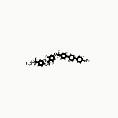 CCCC1CCC(C2CCC(c3ccc(C(F)(F)Oc4cc(F)c(C(F)(F)Oc5ccc(C(F)(F)OC(F)(F)F)cc5)c(F)c4)cc3)CC2)CC1